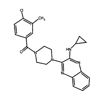 Cc1cc(C(=O)N2CCN(c3nc4ccccc4nc3NC3CC3)CC2)ccc1Cl